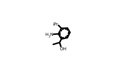 CC(C)c1cccc(C(C)O)c1N